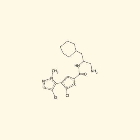 Cn1ncc(Cl)c1-c1cc(C(=O)NC(CN)CC2CCCCC2)sc1Cl